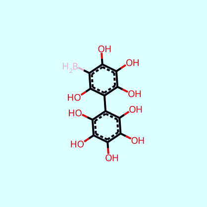 Bc1c(O)c(O)c(O)c(-c2c(O)c(O)c(O)c(O)c2O)c1O